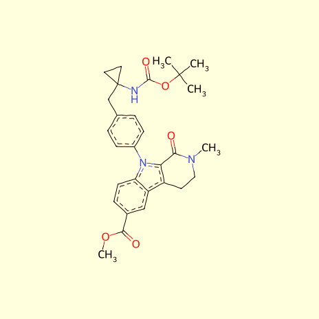 COC(=O)c1ccc2c(c1)c1c(n2-c2ccc(CC3(NC(=O)OC(C)(C)C)CC3)cc2)C(=O)N(C)CC1